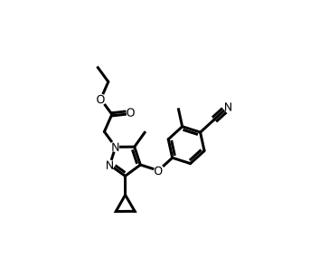 CCOC(=O)Cn1nc(C2CC2)c(Oc2ccc(C#N)c(C)c2)c1C